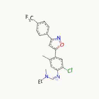 CCN(C)/C=N\c1cc(C)c(-c2cc(-c3ccc(C(F)(F)F)cc3)no2)cc1Cl